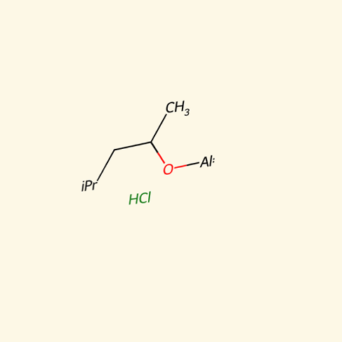 CC(C)CC(C)[O][Al].Cl